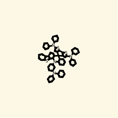 c1ccc(N(c2ccccc2)c2cccc(N3c4ccccc4C4(c5cc(N(c6ccccc6)c6ccccc6)sc5-c5sc(N(c6ccccc6)c6ccccc6)cc54)c4ccc5c(sc6ccccc65)c43)c2)cc1